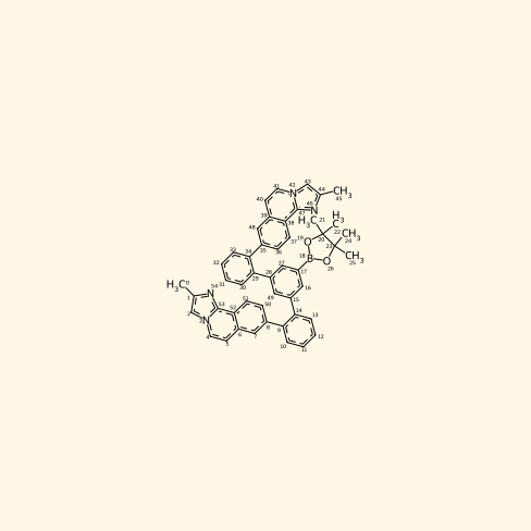 Cc1cn2ccc3cc(-c4ccccc4-c4cc(B5OC(C)(C)C(C)(C)O5)cc(-c5ccccc5-c5ccc6c(ccn7cc(C)nc67)c5)c4)ccc3c2n1